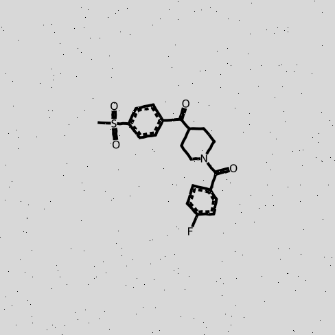 CS(=O)(=O)c1ccc(C(=O)C2CCN(C(=O)c3ccc(F)cc3)CC2)cc1